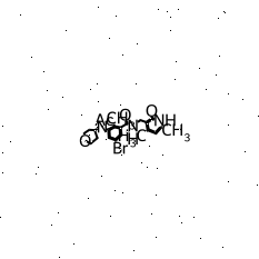 CC(=O)N(c1cc(Br)cc(C(=O)NCc2c(C)cc(C)[nH]c2=O)c1C)C1CCOCC1